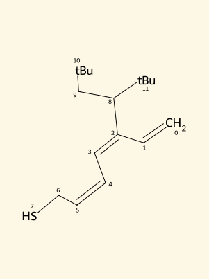 C=C/C(=C\C=C/CS)C(CC(C)(C)C)C(C)(C)C